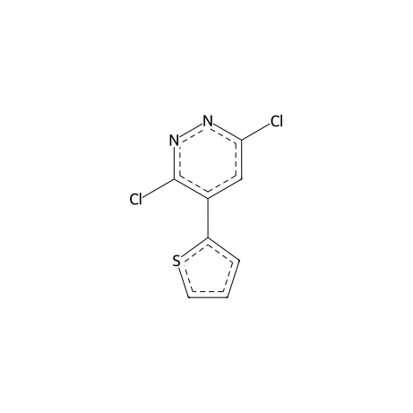 Clc1cc(-c2cccs2)c(Cl)nn1